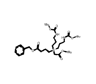 CC(C)(C)OC(=O)C[N+](CCCNC(=O)OC(C)(C)C)(CCCNC(=O)OC(C)(C)C)CCCC(=O)OCc1ccccc1